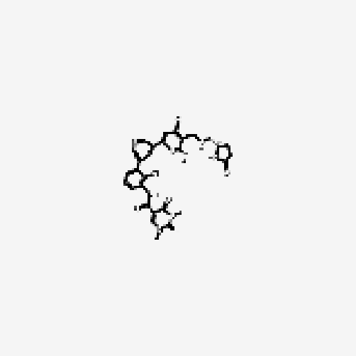 COc1nc(-c2cncc(-c3cccc(NC(=O)c4cn(C)c(=O)n(C)c4=O)c3Cl)c2)cc(Cl)c1CNC[C@@H]1CCC(=O)N1